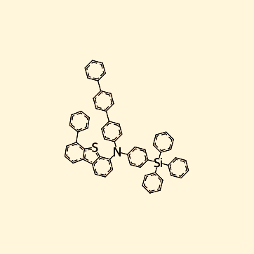 c1ccc(-c2ccc(-c3ccc(N(c4ccc([Si](c5ccccc5)(c5ccccc5)c5ccccc5)cc4)c4cccc5c4sc4c(-c6ccccc6)cccc45)cc3)cc2)cc1